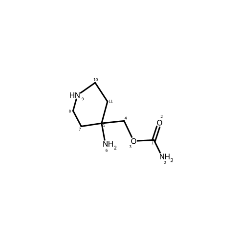 NC(=O)OCC1(N)CCNCC1